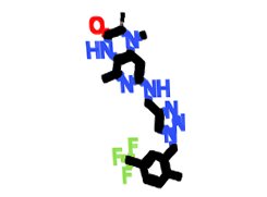 Cc1ccc(C(F)(F)F)cc1Cn1cc(CNc2cc3c(c(C)n2)NC(=O)[C@H](C)N3C)nn1